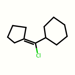 ClC(=C1CCCC1)C1CCCCC1